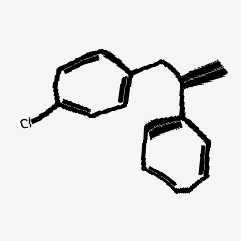 C=C(Cc1ccc(Cl)cc1)c1ccccc1